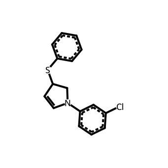 Clc1cccc(N2C=CC(Sc3ccccc3)C2)c1